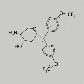 N[C@@H]1CO[C@H](C(c2ccc(OC(F)(F)F)cc2)c2ccc(OC(F)(F)F)cc2)C[C@@H]1O